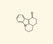 O=C1CCC2CCCn3c2c1c1ccccc13